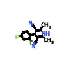 CC1=C(C#N)C(c2ccc(F)cc2Cl)C(C#N)=C(C)N1